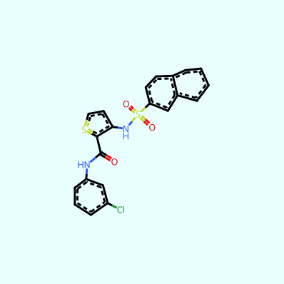 O=C(Nc1cccc(Cl)c1)c1sccc1NS(=O)(=O)c1ccc2ccccc2c1